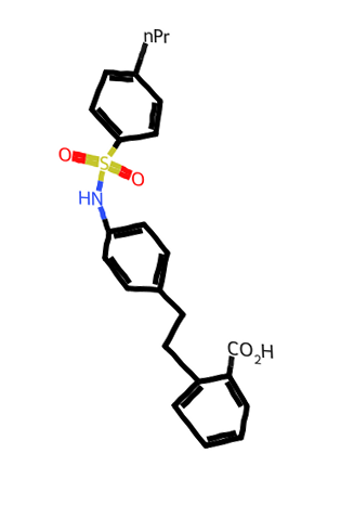 CCCc1ccc(S(=O)(=O)Nc2ccc(CCc3ccccc3C(=O)O)cc2)cc1